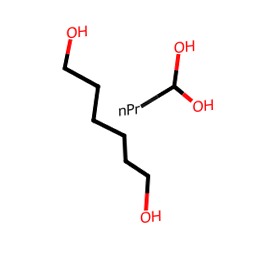 CCCC(O)O.OCCCCCCO